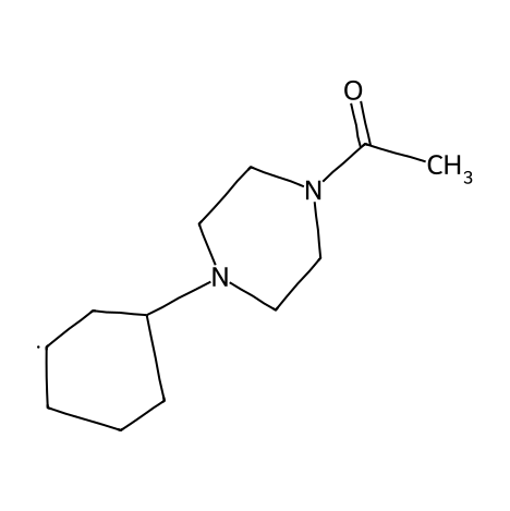 CC(=O)N1CCN(C2C[CH]CCC2)CC1